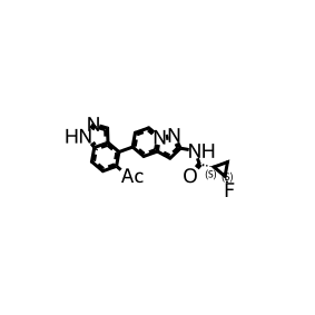 CC(=O)c1ccc2[nH]ncc2c1-c1ccn2nc(NC(=O)[C@@H]3C[C@@H]3F)cc2c1